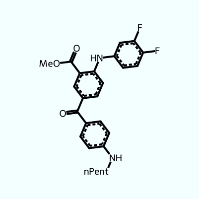 CCCCCNc1ccc(C(=O)c2ccc(Nc3ccc(F)c(F)c3)c(C(=O)OC)c2)cc1